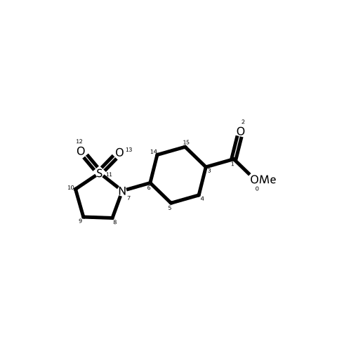 COC(=O)C1CCC(N2CCCS2(=O)=O)CC1